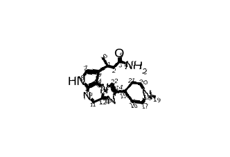 CC(CC(N)=O)c1c[nH]c2ncc3nc(C4CCN(C)CC4)cn3c12